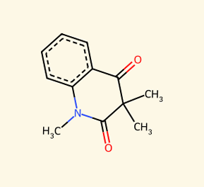 CN1C(=O)C(C)(C)C(=O)c2ccccc21